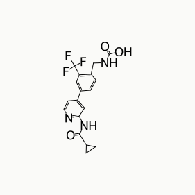 O=C(O)NCc1ccc(-c2ccnc(NC(=O)C3CC3)c2)cc1C(F)(F)F